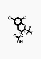 O=C(O)O[C@H]1Cc2cc(Cl)cc(Cl)c2S[C@H]1C(F)(F)F